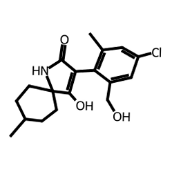 Cc1cc(Cl)cc(CO)c1C1=C(O)C2(CCC(C)CC2)NC1=O